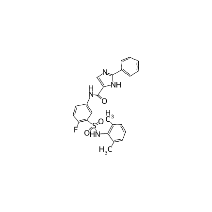 Cc1cccc(C)c1NS(=O)(=O)c1cc(NC(=O)c2cnc(-c3ccccc3)[nH]2)ccc1F